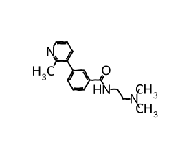 Cc1ncccc1-c1cccc(C(=O)NCCN(C)C)c1